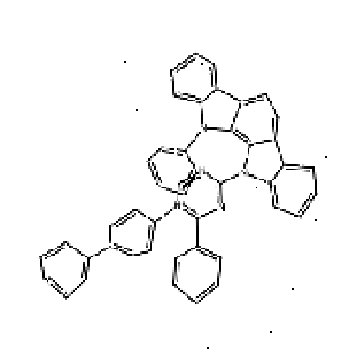 c1ccc(-c2ccc(-[n+]3cnc(-n4c5ccccc5c5ccc6c7ccccc7n(-c7ccccc7)c6c54)nc3-c3ccccc3)cc2)cc1